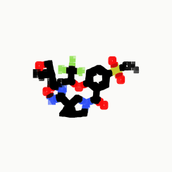 CC(Oc1ccc(S(C)(=O)=O)cc1C(=O)N1CC2CC2(c2noc(C3(C)COC3)n2)C1)C(F)(F)F